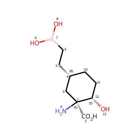 N[C@@]1(C(=O)O)C[C@H](CCB(O)O)CC[C@@H]1O